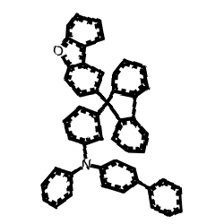 c1ccc(-c2ccc(N(c3ccccc3)c3cccc(C4(c5ccc6oc7ccccc7c6c5)c5ccccc5-c5ccccc54)c3)cc2)cc1